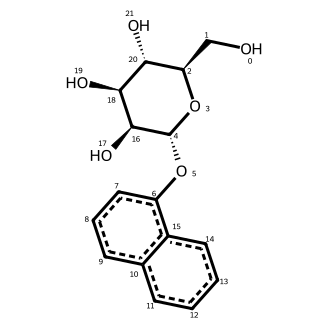 OC[C@H]1O[C@H](Oc2cccc3ccccc23)[C@@H](O)[C@@H](O)[C@@H]1O